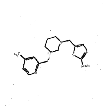 CC(=O)Nc1ncc(CN2CCC[C@@H](Cc3cc(C)ccn3)C2)s1